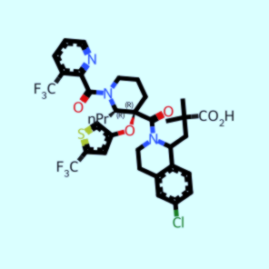 CCC[C@H]1N(C(=O)c2ncccc2C(F)(F)F)CCC[C@]1(Oc1csc(C(F)(F)F)c1)C(=O)N1CCc2cc(Cl)ccc2C1CC(C)(C)C(=O)O